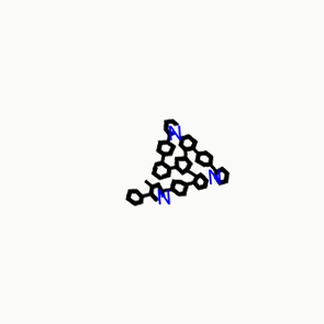 Cc1cc(-c2ccc(-c3ccccc3-c3cc(-c4ccccc4-c4ccc(-c5ccccn5)cc4)cc(-c4ccccc4-c4ccc(-c5ccccn5)cc4)c3)cc2)ncc1-c1ccccc1